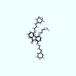 CCCOc1ccc(OCCCN2CCOCC2)c2c1-c1c(OCCCN3CCOCC3)cccc1C2=O